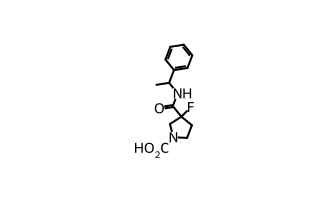 CC(NC(=O)C1(F)CCN(C(=O)O)C1)c1ccccc1